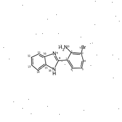 Nc1c(Br)cccc1-c1nc2ccccc2[nH]1